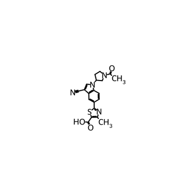 CC(=O)N1CCC(n2cc(C#N)c3cc(-c4nc(C)c(C(=O)O)s4)ccc32)C1